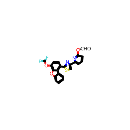 O=COc1cccc(-c2csc(-c3ccc(OC(F)F)c4oc5ccccc5c34)n2)n1